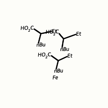 CCCCC(CC)C(=O)O.CCCCC(CC)C(=O)O.CCCCC(CC)C(=O)O.[Fe]